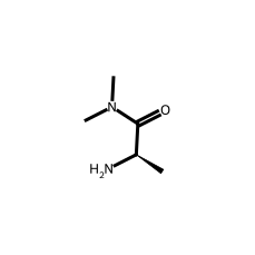 C[C@@H](N)C(=O)N(C)C